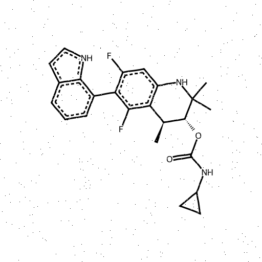 C[C@H]1c2c(cc(F)c(-c3cccc4cc[nH]c34)c2F)NC(C)(C)[C@@H]1OC(=O)NC1CC1